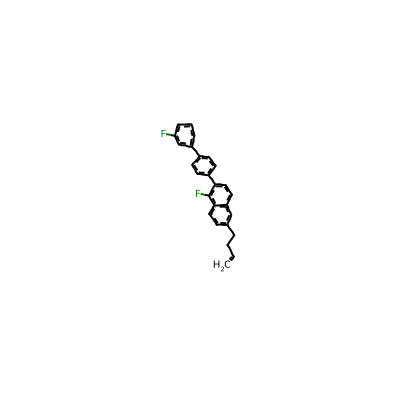 C=CCCc1ccc2c(F)c(-c3ccc(-c4cccc(F)c4)cc3)ccc2c1